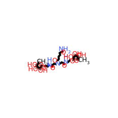 C[C@@H]1O[C@@H](OCCNC(=O)CCN(CCC(=O)NCCO[C@@H]2O[C@@H](C)[C@@H](O)[C@@H](O)[C@@H]2O)C(=O)CCCCC(N)=O)[C@@H](O)[C@H](O)[C@@H]1O